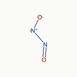 [O][N+]N=O